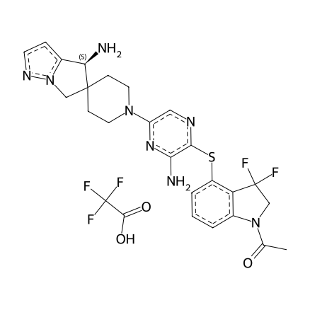 CC(=O)N1CC(F)(F)c2c(Sc3ncc(N4CCC5(CC4)Cn4nccc4[C@H]5N)nc3N)cccc21.O=C(O)C(F)(F)F